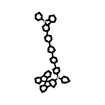 c1ccc(N(c2ccc(-c3ccc(-c4ccc(-c5ccc(-c6ccc7c(c6)c6ccccc6n7-c6ccccc6)cc5)cc4)cc3)cc2)c2ccc3c(c2)C2(c4ccccc4-c4ccccc42)c2ccccc2-3)cc1